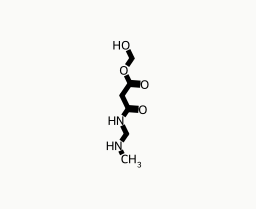 CNCNC(=O)CC(=O)OCO